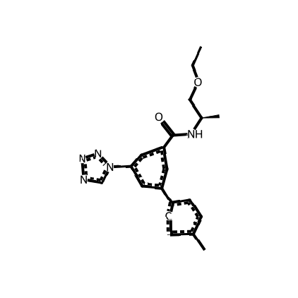 CCOC[C@@H](C)NC(=O)c1cc(-c2ccc(C)cc2)cc(-n2cnnn2)c1